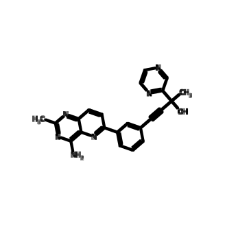 Cc1nc(N)c2nc(-c3cccc(C#CC(C)(O)c4cnccn4)c3)ccc2n1